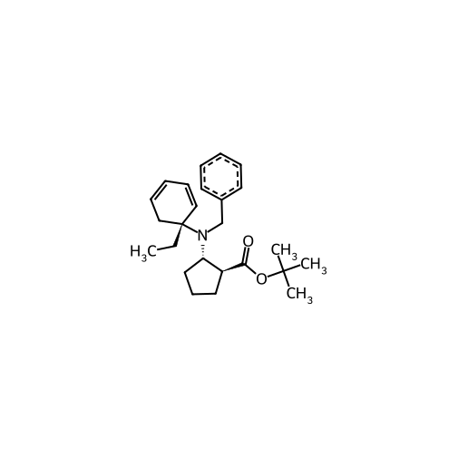 CC[C@]1(N(Cc2ccccc2)[C@H]2CCC[C@@H]2C(=O)OC(C)(C)C)C=CC=CC1